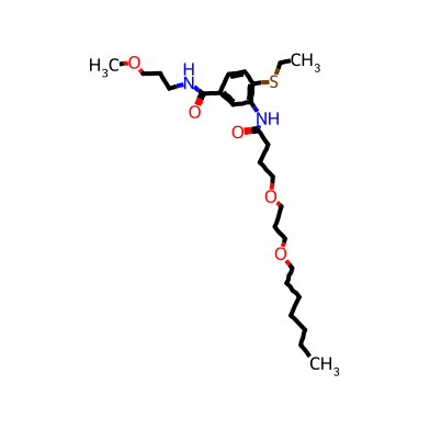 CCCCCCCOCCCOCCCC(=O)Nc1cc(C(=O)NCCCOC)ccc1SCC